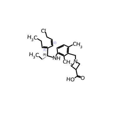 CC/C=C(\C=C/CCl)[C@@H](CC)Nc1ccc(C)c(CN2CC(C(=O)O)C2)c1C